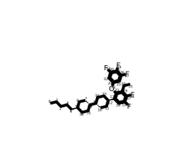 CCCCC[C@H]1CC[C@H]([C@H]2CC[C@H](c3[c]c(F)c(F)c(CC)c3Oc3cc(F)c(F)c(F)c3)CC2)CC1